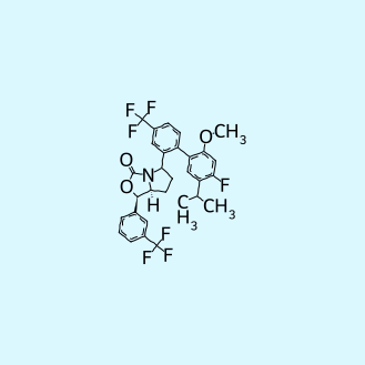 COc1cc(F)c(C(C)C)cc1-c1ccc(C(F)(F)F)cc1C1CC[C@H]2[C@@H](c3cccc(C(F)(F)F)c3)OC(=O)N12